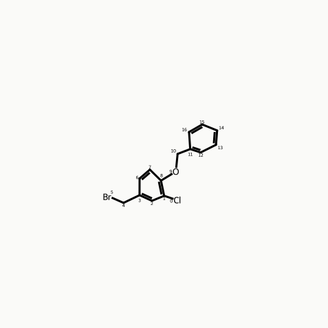 Clc1cc(CBr)ccc1OCc1ccccc1